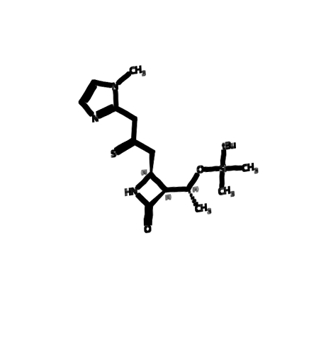 C[C@@H](O[Si](C)(C)C(C)(C)C)[C@H]1C(=O)N[C@H]1CC(=S)Cc1nccn1C